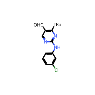 CC(C)(C)c1nc(Nc2cccc(Cl)c2)ncc1C=O